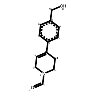 O=CN1CC=C(c2ccc(CO)cc2)CC1